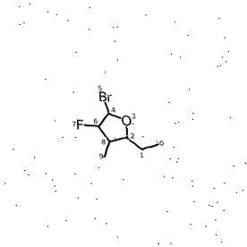 CCC1OC(Br)C(F)C1C